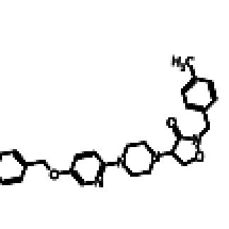 Cc1ccc(CN2OCC(N3CCN(c4ccc(OCc5ccccc5)cn4)CC3)C2=O)cc1